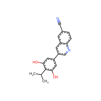 CC(C)c1c(O)cc(-c2cnc3ccc(C#N)cc3c2)cc1O